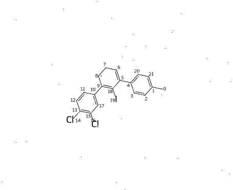 Cc1ccc(C2=CC[CH]C(c3ccc(Cl)c(Cl)c3)=C2I)cc1